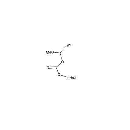 CCCCCCOC(=O)OC(CCC)OC